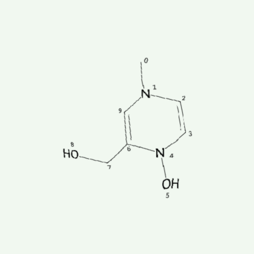 CN1C=CN(O)C(CO)=C1